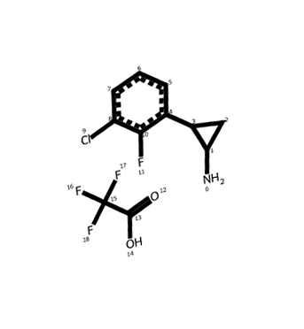 NC1CC1c1cccc(Cl)c1F.O=C(O)C(F)(F)F